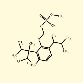 COP(=O)(O)OCOc1c(C(C)C(C)C)ccc(C)c1C(C)(C(C)C)C(C)C